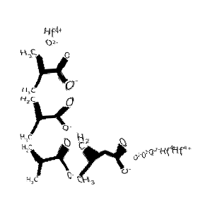 C=C(C)C(=O)[O-].C=C(C)C(=O)[O-].C=C(C)C(=O)[O-].C=C(C)C(=O)[O-].[Hf+4].[Hf+4].[Hf+4].[O-2].[O-2].[O-2].[O-2]